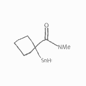 CNC(=O)[C]1([SnH])CCC1